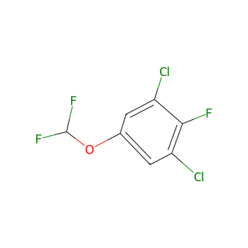 Fc1c(Cl)cc(OC(F)F)cc1Cl